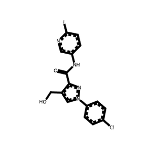 O=C(Nc1ccc(I)nc1)c1nn(-c2ccc(Cl)cc2)cc1CO